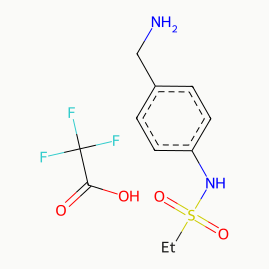 CCS(=O)(=O)Nc1ccc(CN)cc1.O=C(O)C(F)(F)F